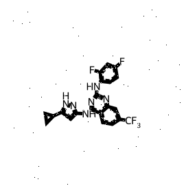 Fc1ccc(Nc2nc(Nc3cc(C4CC4)[nH]n3)c3ccc(C(F)(F)F)cc3n2)c(F)c1